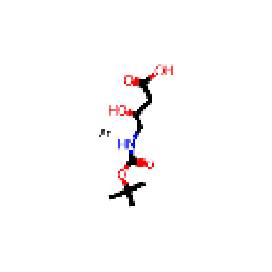 CC(C)(C)OC(=O)NCC(O)CC(=O)O.[Ar]